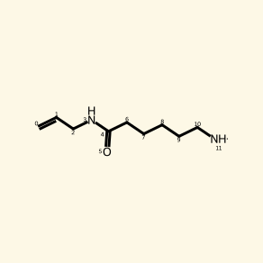 C=CCNC(=O)CCCCC[NH]